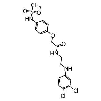 CS(=O)(=O)Nc1ccc(OCC(=O)NCCNc2ccc(Cl)c(Cl)c2)cc1